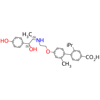 Cc1cc(OCCN[C@@H](C)[C@@H](O)c2ccc(O)cc2)ccc1-c1ccc(C(=O)O)cc1C(C)C